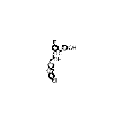 O=C(c1cc(F)ccc1OC[C@H](O)CN1CCC2(CC1)Cc1cc(Cl)ccc1O2)N1CC[C@H](O)C1